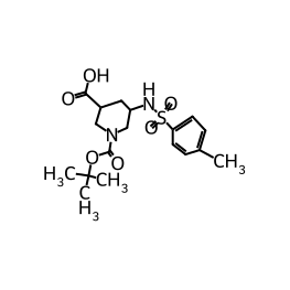 Cc1ccc(S(=O)(=O)NC2CC(C(=O)O)CN(C(=O)OC(C)(C)C)C2)cc1